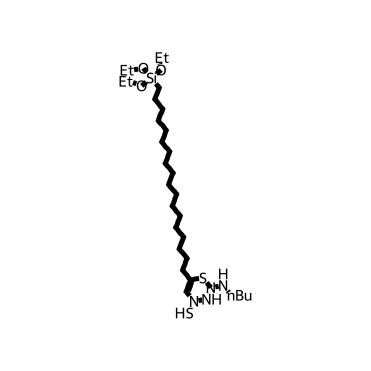 CCCCNn1[nH]n(S)cc(CCCCCCCCCCCCCCCCCC[Si](OCC)(OCC)OCC)s1